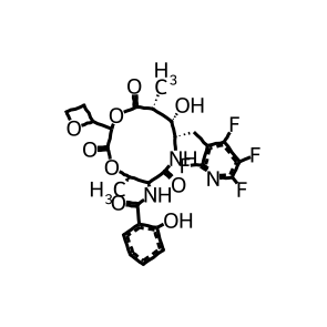 C[C@H]1OC(=O)C(C2CCO2)OC(=O)[C@H](C)[C@H](O)[C@H](Cc2c(F)nc(F)c(F)c2F)NC(=O)[C@H]1NC(=O)c1ccccc1O